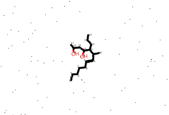 CCCCCC=CC(C)C(CCC)C(O)CC(C)O